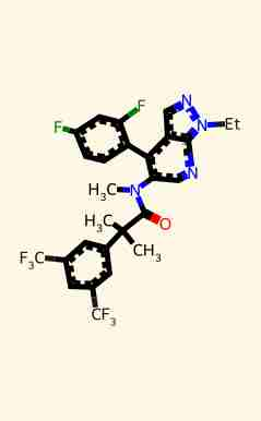 CCn1ncc2c(-c3ccc(F)cc3F)c(N(C)C(=O)C(C)(C)c3cc(C(F)(F)F)cc(C(F)(F)F)c3)cnc21